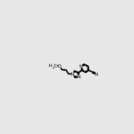 COCCCn1cnc(-c2cc(C#N)ccn2)c1